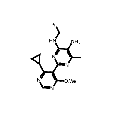 COc1ncnc(C2CC2)c1-c1nc(C)c(N)c(NCC(C)C)n1